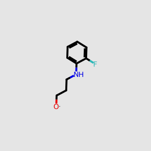 [O]CCCNc1ccccc1F